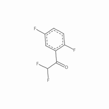 O=C(c1cc(F)ccc1F)C(F)F